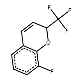 Fc1cccc2c1OC(C(F)(F)F)C=C2